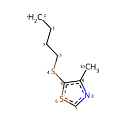 [CH2]CCCSc1scnc1C